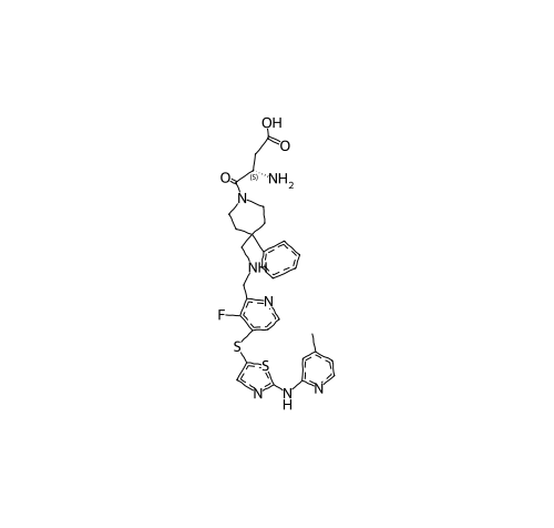 Cc1ccnc(Nc2ncc(Sc3ccnc(CNCC4(c5ccccc5)CCN(C(=O)[C@@H](N)CC(=O)O)CC4)c3F)s2)c1